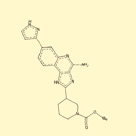 CC(C)(C)OC(=O)N1CCCC(c2nc3c(N)nc4cc(-c5cc[nH]n5)ccc4c3[nH]2)C1